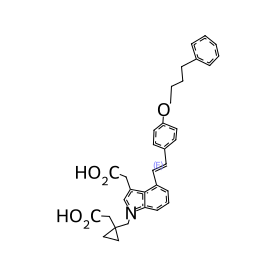 O=C(O)Cc1cn(CC2(CC(=O)O)CC2)c2cccc(/C=C/c3ccc(OCCCCc4ccccc4)cc3)c12